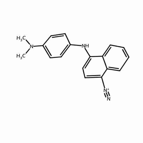 CN(C)c1ccc(Nc2ccc([N+]#N)c3ccccc23)cc1